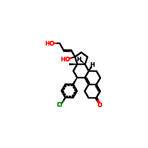 C[C@]12C[C@H](c3ccc(Cl)cc3)C3=C4CCC(=O)C=C4CC[C@H]3[C@@H]1CC[C@@]2(O)/C=C/CO